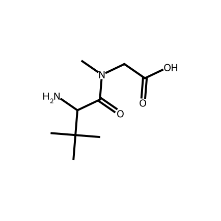 CN(CC(=O)O)C(=O)C(N)C(C)(C)C